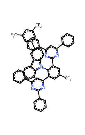 FC(F)(F)c1cc(-c2ccc3c(c2)c2ccccc2n3-c2c(-c3cc(-c4ccccc4)nc(-c4ccccc4)n3)cc(C(F)(F)F)cc2-c2nc(-c3ccccc3)cc(-c3ccccc3)n2)cc(C(F)(F)F)c1